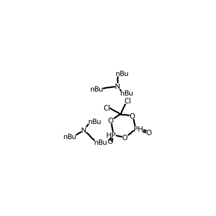 CCCCN(CCCC)CCCC.CCCCN(CCCC)CCCC.O=[PH]1O[PH](=O)OC(Cl)(Cl)O1